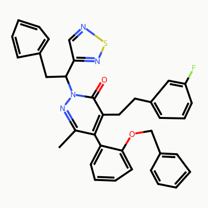 Cc1nn(C(Cc2ccccc2)c2cnsn2)c(=O)c(CCc2cccc(F)c2)c1-c1ccccc1OCc1ccccc1